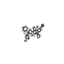 CC1(C)c2cc(N(c3ccccc3)c3ccc(C#N)c(F)c3)ccc2-c2c1cc(N(c1ccccc1)c1ccc(C#N)c(F)c1)c1ccccc21